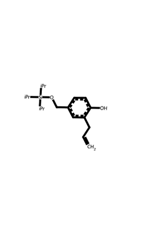 C=CCc1cc(CO[Si](C(C)C)(C(C)C)C(C)C)ccc1O